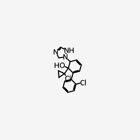 OC1(C2(Cl)CC2)C(c2ccccc2Cl)=CC=CC1N1CN=CN1